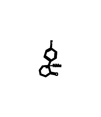 CN[C@@]1(c2ccc(F)cc2)CCCCC1=O